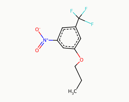 CCCOc1cc([N+](=O)[O-])cc(C(F)(F)F)c1